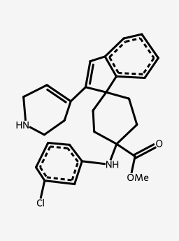 COC(=O)C1(Nc2cccc(Cl)c2)CCC2(CC1)C(C1=CCNCC1)=Cc1ccccc12